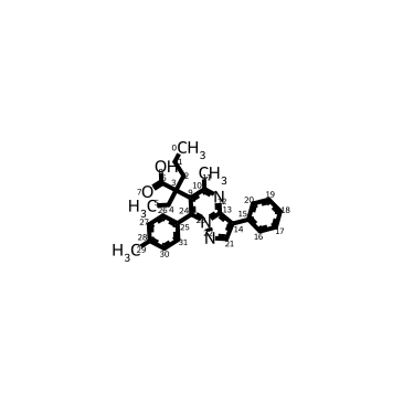 CCCC(CC)(C(=O)O)c1c(C)nc2c(-c3ccccc3)cnn2c1-c1ccc(C)cc1